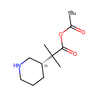 CC(C)(C)C(=O)OC(=O)C(C)(C)[C@@H]1CCCNC1